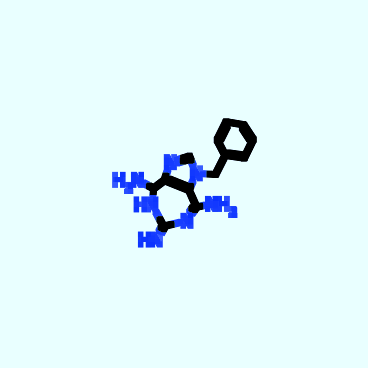 N=C1N=C(N)c2c(ncn2Cc2ccccc2)C(N)N1